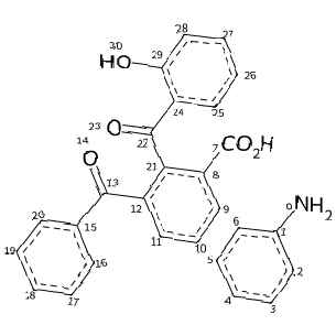 Nc1[c]cccc1.O=C(O)c1cccc(C(=O)c2ccccc2)c1C(=O)c1ccccc1O